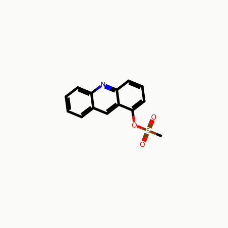 CS(=O)(=O)Oc1cccc2nc3ccccc3cc12